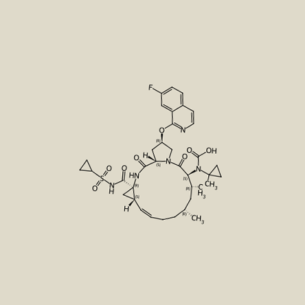 C[C@@H]1CCC=C[C@@H]2C[C@@]2(C(=O)NS(=O)(=O)C2CC2)NC(=O)[C@@H]2C[C@@H](Oc3nccc4ccc(F)cc34)CN2C(=O)[C@@H](N(C(=O)O)C2(C)CC2)[C@H](C)C1